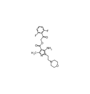 Cc1nn(CCN2CCOCC2)c(N)c1C(=O)OCC(=O)c1c(F)cccc1F